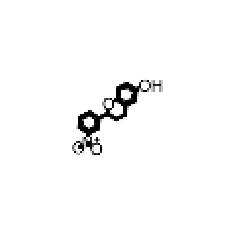 O=[N+]([O-])c1cccc(C2CCc3cc(O)ccc3O2)c1